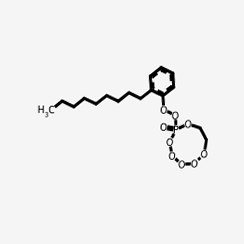 CCCCCCCCCc1ccccc1OOP1(=O)OCCOOOOO1